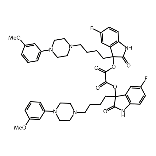 COc1cccc(N2CCN(CCCCC3(OC(=O)C(=O)OC4(CCCCN5CCN(c6cccc(OC)c6)CC5)C(=O)Nc5ccc(F)cc54)C(=O)Nc4ccc(F)cc43)CC2)c1